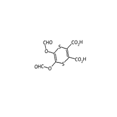 O=COC1=C(OC=O)SC(C(=O)O)=C(C(=O)O)S1